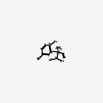 C=C[C@](N)(c1cc(Br)ccc1F)C(F)F